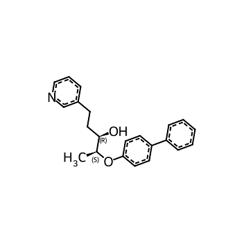 C[C@H](Oc1ccc(-c2ccccc2)cc1)[C@H](O)CCc1cccnc1